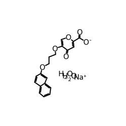 O.O.O=C([O-])c1cc(=O)c(OCCCOc2ccc3ccccc3c2)co1.[Na+]